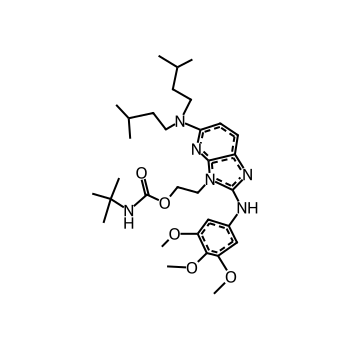 COc1cc(Nc2nc3ccc(N(CCC(C)C)CCC(C)C)nc3n2CCOC(=O)NC(C)(C)C)cc(OC)c1OC